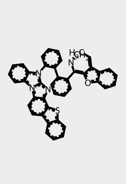 C=N/C(c1ccccc1-c1ccccc1-n1c2ccccc2n2c3ccc4c5ccccc5sc4c3nc12)=c1/oc2ccccc2/c1=C/C